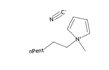 CCCCCCC[N+]1(C)C=CC=C1.[C-]#N